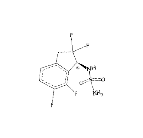 NS(=O)(=O)N[C@H]1c2c(ccc(F)c2F)CC1(F)F